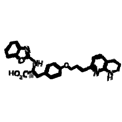 O=C(O)[C@H](Cc1ccc(OCCCc2ccc3c(n2)NCCC3)cc1)Nc1nc2ccccc2o1